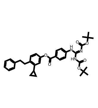 CC(C)(C)OC(=O)/N=C(/NC(=O)OC(C)(C)C)Nc1ccc(C(=O)Oc2ccc(CCc3ccccc3)c(C3CC3)c2)cc1